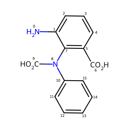 Nc1cccc(C(=O)O)c1N(C(=O)O)c1ccccc1